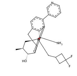 C[C@H]1C[C@@]2(CC[C@@H]1O)Cc1ccc(-c3cccnc3)cc1[C@]21N=C(N)N(CC2CC(F)(F)C2)C1=O